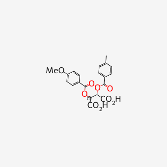 COc1ccc(C(=O)O[C@H](C(=O)O)C(OC(=O)c2ccc(C)cc2)C(=O)O)cc1